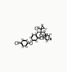 OC(Cc1ccc(Oc2ccc(Cl)cc2)cc1Cl)(Cn1cncn1)C1(Cl)CC1